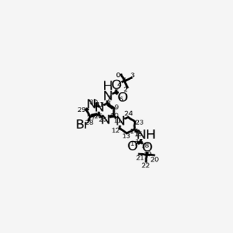 CC(C)(C)OC(=O)Nc1cc(N2CCC(NC(=O)OC(C)(C)C)CC2)nc2c(Br)cnn12